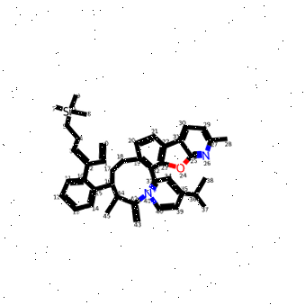 C=C/C(=C\CC[Si](C)(C)C)c1ccccc1C1CCc2ccc3c(oc4nc(C)ccc43)c2-c2cc(C(C)C)cc[n+]2C(=C)C1C